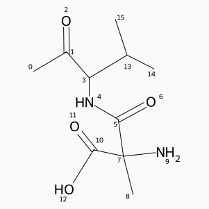 CC(=O)C(NC(=O)C(C)(N)C(=O)O)C(C)C